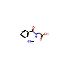 C=N.O=C(O)CNC(=O)c1ccccc1